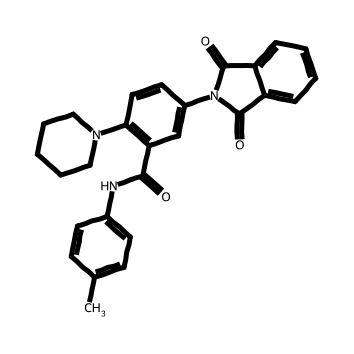 Cc1ccc(NC(=O)c2cc(N3C(=O)c4ccccc4C3=O)ccc2N2CCCCC2)cc1